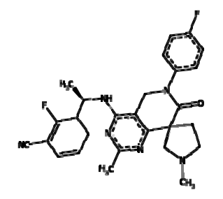 Cc1nc(N[C@H](C)C2CC=CC(C#N)=C2F)c2c(n1)C1(CCN(C)C1)C(=O)N(c1ccc(F)cc1)C2